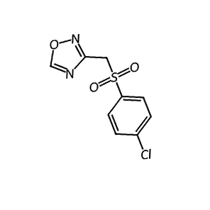 O=S(=O)(Cc1ncon1)c1ccc(Cl)cc1